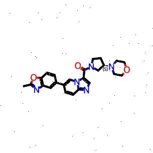 Cc1nc2cc(-c3ccc4ncc(C(=O)N5CC[C@H](N6CCOCC6)C5)n4c3)ccc2o1